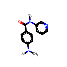 CCN(C(=O)c1ccc(N(C)C(C)=O)cc1)c1cccnc1